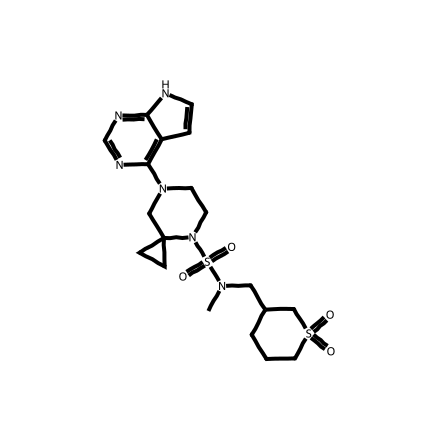 CN(CC1CCCS(=O)(=O)C1)S(=O)(=O)N1CCN(c2ncnc3[nH]ccc23)CC12CC2